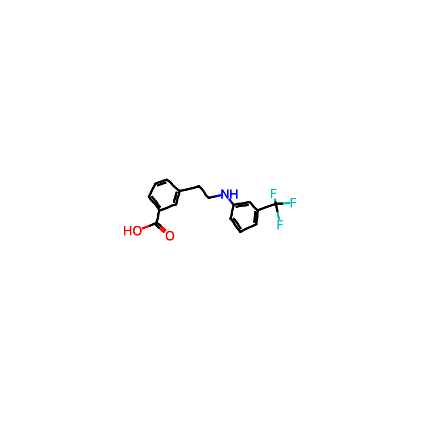 O=C(O)c1cccc(CCNc2cccc(C(F)(F)F)c2)c1